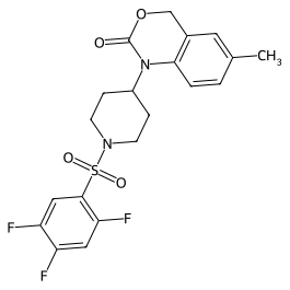 Cc1ccc2c(c1)COC(=O)N2C1CCN(S(=O)(=O)c2cc(F)c(F)cc2F)CC1